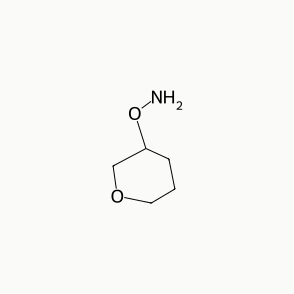 NOC1CCCOC1